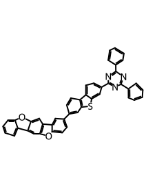 c1ccc(-c2nc(-c3ccccc3)nc(-c3ccc4c(c3)sc3cc(-c5ccc6oc7cc8c(cc7c6c5)oc5ccccc58)ccc34)n2)cc1